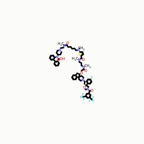 CN(CCN1CCC(N(C(=O)O)c2ccccc2-c2ccccc2)CC1)C(=O)CCCCCN(C)c1ccc(C(=O)N(C)CCCN(C)C(=O)CO[C@H]2Cc3ccccc3C23CCN(CC[C@@]2(c4ccc(F)cc4)CN(C(=O)c4cc(C(F)(F)F)cc(C(F)(F)F)c4)CO2)CC3)s1